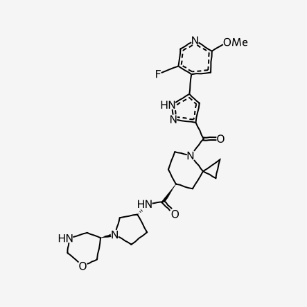 COc1cc(-c2cc(C(=O)N3CC[C@H](C(=O)N[C@@H]4CCN([C@@H]5CNCOC5)C4)CC34CC4)n[nH]2)c(F)cn1